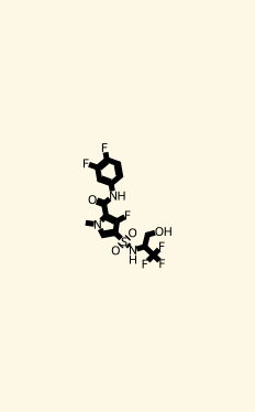 Cn1cc(S(=O)(=O)NC(CO)C(F)(F)F)c(F)c1C(=O)Nc1ccc(F)c(F)c1